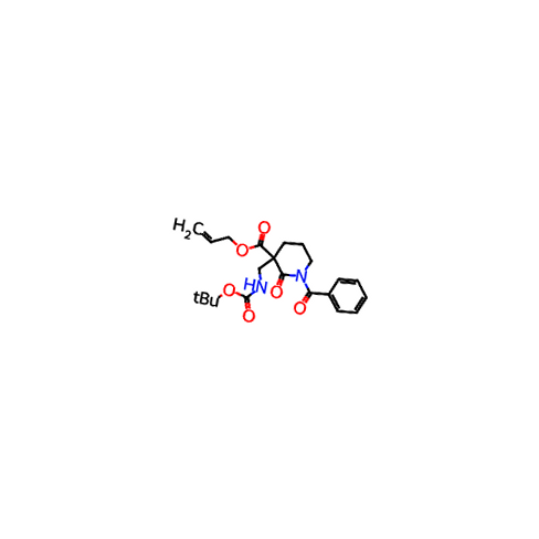 C=CCOC(=O)C1(CNC(=O)OC(C)(C)C)CCCN(C(=O)c2ccccc2)C1=O